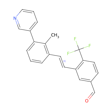 Cc1c(/C=C/c2cc(C=O)ccc2C(F)(F)F)cccc1-c1cccnc1